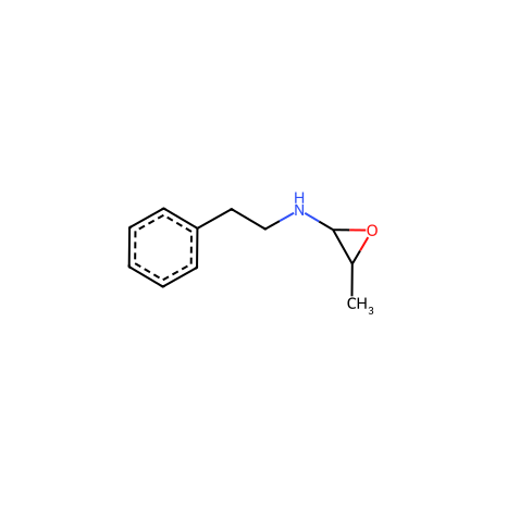 CC1OC1NCCc1ccccc1